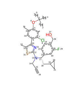 [2H]C([2H])([2H])Oc1cc(Cl)c(-c2nc(N(CC#C)[C@@H](CC3CC3)c3ccc(CO)c(F)c3)sc2C)cc1C